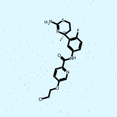 C[C@@]1(c2cc(NC(=O)c3ccc(OCCCl)cn3)ccc2F)CCSC(N)=N1